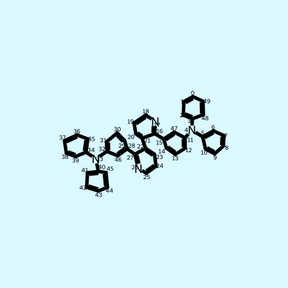 c1ccc(N(c2ccccc2)c2cccc(-c3ncccc3-c3cccnc3-c3cccc(N(c4ccccc4)c4ccccc4)c3)c2)cc1